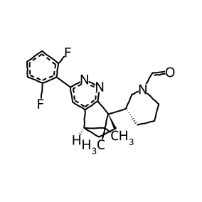 CC1(C)[C@H]2CC[C@]1([C@H]1CCCN(C=O)C1)c1nnc(-c3c(F)cccc3F)cc12